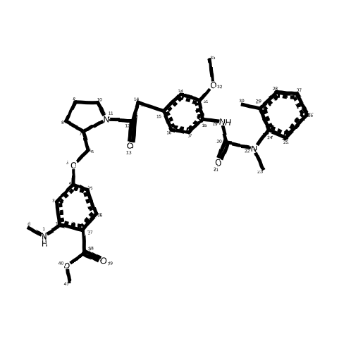 CNc1cc(OCC2CCCN2C(=O)Cc2ccc(NC(=O)N(C)c3ccccc3C)c(OC)c2)ccc1C(=O)OC